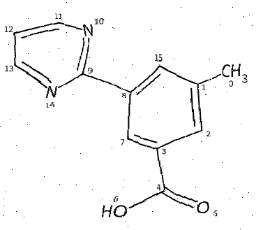 Cc1cc(C(=O)O)cc(-c2ncccn2)c1